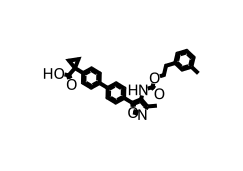 Cc1cccc(CCOC(=O)Nc2c(C)noc2-c2ccc(-c3ccc(C4(C(=O)O)CC4)cc3)cc2)c1